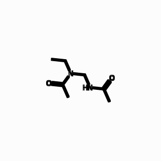 CCN(CNC(C)=O)C(C)=O